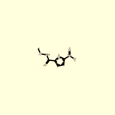 CONC(=O)c1ccc([N+](=O)[O-])o1